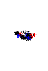 Cc1ccc([13C](=O)Nc2ccc(Cc3nc(N([13CH3])[13CH3])c([13CH2][13C](=O)O)c4nccn34)cc2)cc1